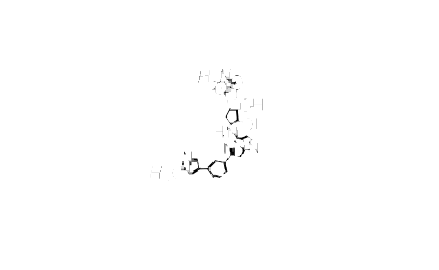 Cn1cc(-c2cccc(-c3cc4nccc(N[C@@H]5C[C@H](COS(N)(=O)=O)[C@@H](O)[C@H]5O)n4n3)c2)cn1